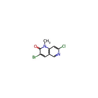 Cn1c(=O)c(Br)cc2cnc(Cl)cc21